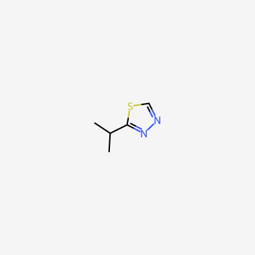 CC(C)c1nncs1